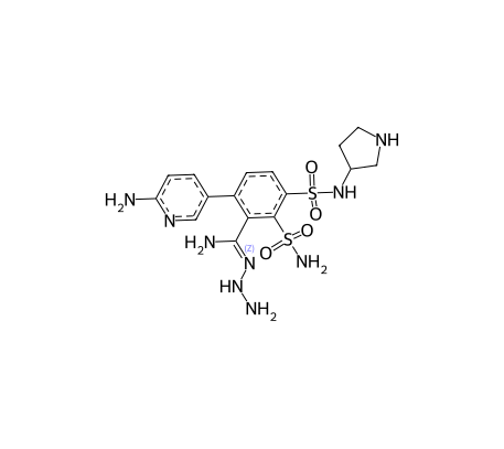 NN/N=C(\N)c1c(-c2ccc(N)nc2)ccc(S(=O)(=O)NC2CCNC2)c1S(N)(=O)=O